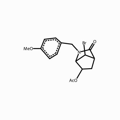 COc1ccc(CN2C(=O)C3CC(OC(C)=O)C2C3Br)cc1